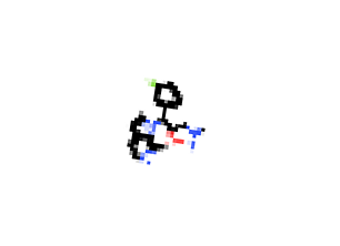 CNCC(O)C(c1cccc(F)c1)n1ccc2ccnc(C)c21